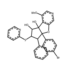 COc1cncc2c1C1(O)C(O)C(Sc3ccccn3)C(c3ccccc3)C1(c1ccc(Br)cc1)O2